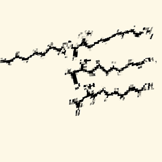 CCCCCCCCC(O)C(=O)[O-].CCCCCCCCC(O)C(=O)[O-].CCCCCCCCC(O)C(=O)[O-].CCCCCCC[CH2][Sn+3]